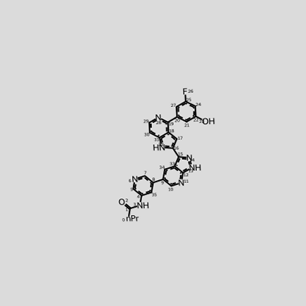 CCCC(=O)Nc1cncc(-c2cnc3[nH]nc(-c4cc5c(-c6cc(O)cc(F)c6)nccc5[nH]4)c3c2)c1